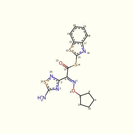 Nc1nc(C(=NOC2CCCC2)C(=O)Sc2nc3ccccc3s2)ns1